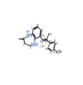 C=C1CCNc2c(cccc2/C(F)=C(\C)c2ccc(C#N)cc2)N1